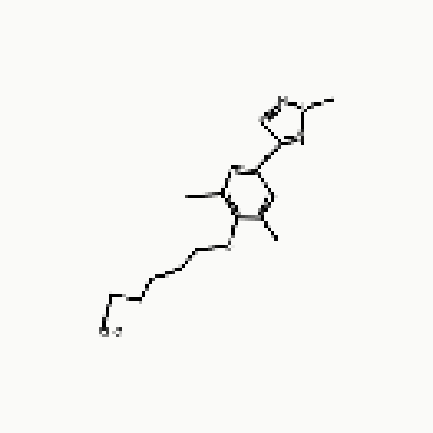 Cc1cc(-c2nnn(C)n2)cc(C)c1OCCCCCC=O